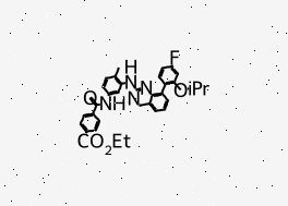 CCOC(=O)c1ccc(C(=O)Nc2ccc(C)c(Nc3ncc4cccc(-c5ccc(F)cc5OC(C)C)c4n3)c2)cc1